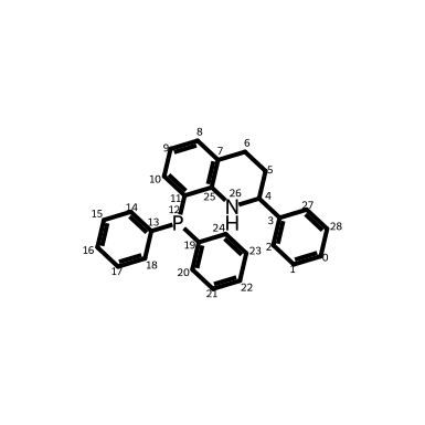 c1ccc(C2CCc3cccc(P(c4ccccc4)c4ccccc4)c3N2)cc1